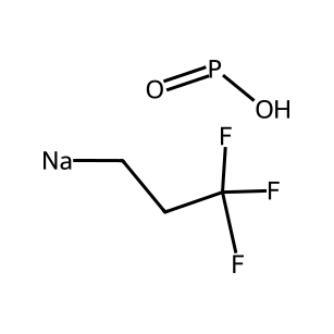 FC(F)(F)C[CH2][Na].O=PO